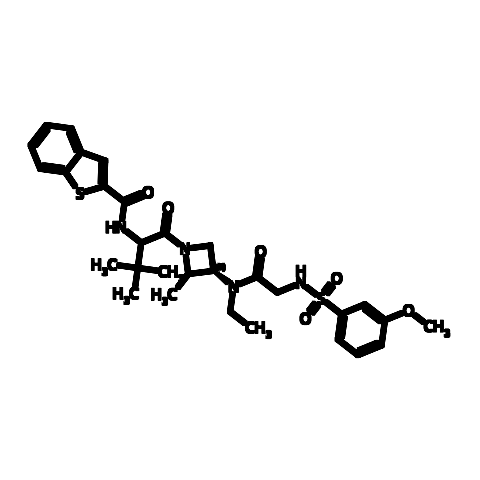 CCN(C(=O)CNS(=O)(=O)c1cccc(OC)c1)[C@@H]1CN(C(=O)C(NC(=O)c2cc3ccccc3s2)C(C)(C)C)C1C